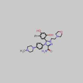 CC(C)c1cc(C2N(CCN3CCOCC3)N=C(C(N)=O)N2c2ccc(N3CCN(C)CC3)cc2)c(O)cc1O